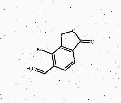 C=Cc1ccc2c(c1Br)COC2=O